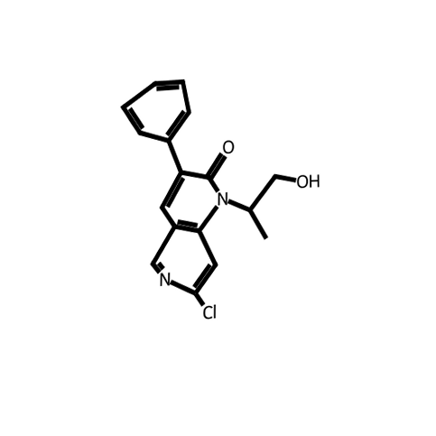 CC(CO)n1c(=O)c(-c2ccccc2)cc2cnc(Cl)cc21